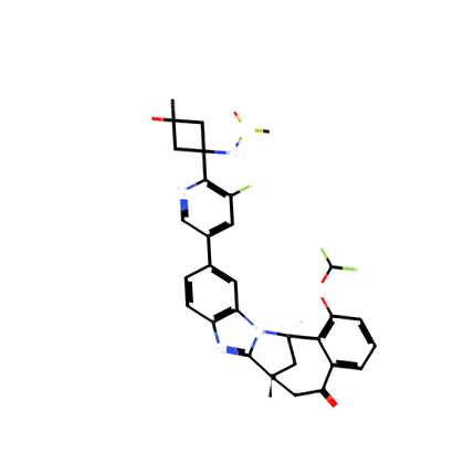 CC(C)(C)[S+]([O-])NC1(c2ncc(-c3ccc4nc5n(c4c3)[C@@H]3C[C@@H]5CC(=O)c4cccc(OC(F)F)c43)cc2F)CC(O)(C(F)(F)F)C1